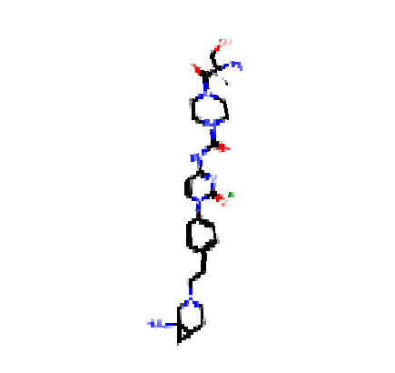 C[C@@](N)(CO)C(=O)N1CCN(C(=O)Nc2ccn(-c3ccc(CCN4CCC5CC5(N)C4)cc3)c(=O)n2)CC1.Cl